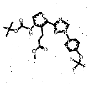 COC(=O)CCc1c(NC(=O)OC(C)(C)C)cccc1-c1ncn(-c2ccc(OC(F)(F)F)cc2)n1